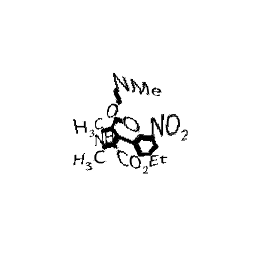 CCOC(=O)C1=C(C)NC(C)=C(C(=O)OCCNC)C1c1cccc([N+](=O)[O-])c1